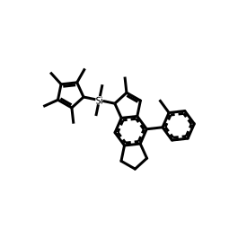 CC1=Cc2c(cc3c(c2-c2ccccc2C)CCC3)C1[Si](C)(C)C1C(C)=C(C)C(C)=C1C